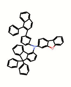 c1ccc(-c2c(-c3cccc(N(c4ccc5c(c4)oc4ccccc45)c4cccc5c4-c4ccccc4C5(c4ccccc4)c4ccccc4)c3)ccc3ccccc23)cc1